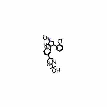 CO/C=C1/CC(c2ccccc2Cl)c2c1nc1ccc(-c3cnc(C(C)(C)O)nc3)cn21